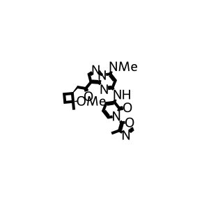 CNc1cc(Nc2cccn(-c3ocnc3C)c2=O)nc2c(C(=O)C[C@@H]3CC[C@@]3(C)OC)cnn12